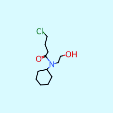 O=C(CCCCl)N(CCO)C1CCCCC1